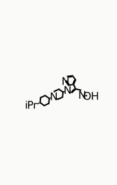 CC(C)[C@H]1CC[C@@H](N2CCC(n3cc(C=NO)c4cccnc43)CC2)CC1